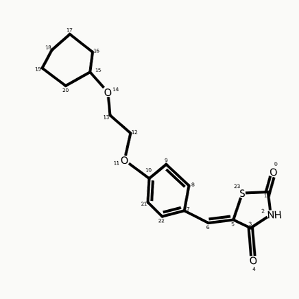 O=C1NC(=O)/C(=C/c2ccc(OCCOC3CCCCC3)cc2)S1